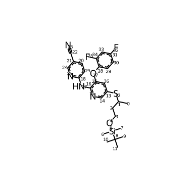 CC(CCO[Si](C)(C)C(C)(C)C)Sc1cnc(Nc2ccc(C#N)cn2)c(Oc2ccc(F)cc2F)c1